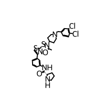 CC(=O)N(Sc1nc(-c2cccc(NC(=O)[C@@H]3CCCN3)c2)cs1)C1CCN(Cc2ccc(Cl)c(Cl)c2)CC1